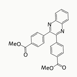 COC(=O)c1ccc(-c2nc3ccccc3nc2-c2ccc(C(=O)OC)cc2)cc1